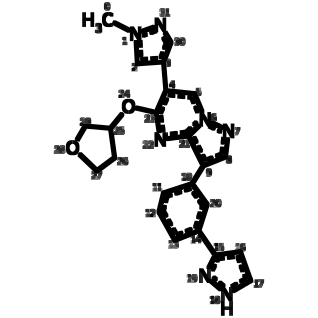 Cn1cc(-c2cn3ncc(-c4cccc(-c5cc[nH]n5)c4)c3nc2OC2CCOC2)cn1